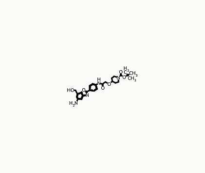 CC(C)(C)OC(=O)N1CCC(OCC(=O)Nc2ccc(-c3nc4cc(N)cc(CO)c4o3)cc2)CC1